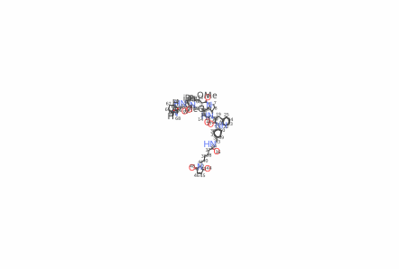 CC[C@H](C)[C@@H]([C@@H](CC(=O)N1CCC[C@H]1[C@H](OC)[C@@H](C)C(=O)N[C@@H](Cc1ccccc1)C(=O)Nc1ccc(CNC(=O)CCCCCN2C(=O)C=CC2=O)cc1)OC)N(C)C(=O)[C@@H](NC(=O)[C@@H]1[C@H]2CC[C@@H]([C@H]2C)N1C)C(C)C